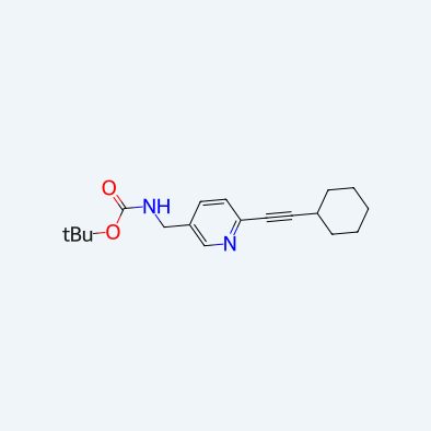 CC(C)(C)OC(=O)NCc1ccc(C#CC2CCCCC2)nc1